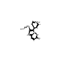 CC(=O)Nc1nc2ccc(Cl)nn2c1-c1ccncc1